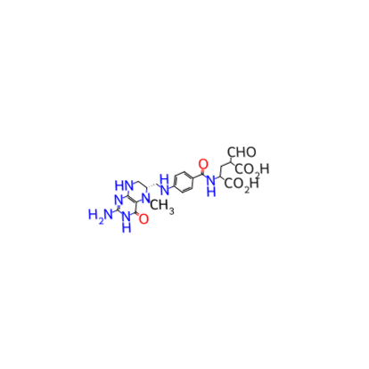 CN1c2c(nc(N)[nH]c2=O)NC[C@@H]1CNc1ccc(C(=O)NC(CC(C=O)C(=O)O)C(=O)O)cc1